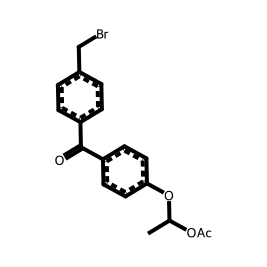 CC(=O)OC(C)Oc1ccc(C(=O)c2ccc(CBr)cc2)cc1